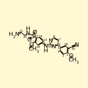 COc1ccc(-c2ccnc(Nc3ccc(S(=O)(=O)NCCN)c(OC)c3)n2)cc1C#N